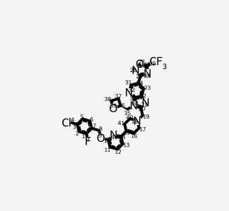 Fc1cc(Cl)ccc1COc1cccc(C2=CCN(Cc3nc4cc(-c5noc(C(F)(F)F)n5)cnc4n3C[C@@H]3CCO3)CC2)n1